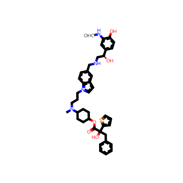 CN(CCCn1ccc2cc(CNC[C@H](O)c3ccc(O)c(NC=O)c3)ccc21)C1CCC(OC(=O)C(O)(Cc2ccccc2)c2cccs2)CC1